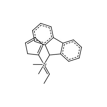 C[CH]=[Zr]([CH3])([CH3])([C]1=CC=CC1)[CH]1c2ccccc2-c2ccccc21